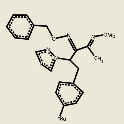 CON=C(C)C(=NOCc1ccccc1)C(Cc1ccc(C(C)(C)C)cc1)n1cncn1